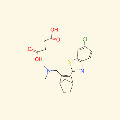 CN(C)CC1=C(c2nc3ccc(Cl)cc3s2)C2CCC1C2.O=C(O)CCC(=O)O